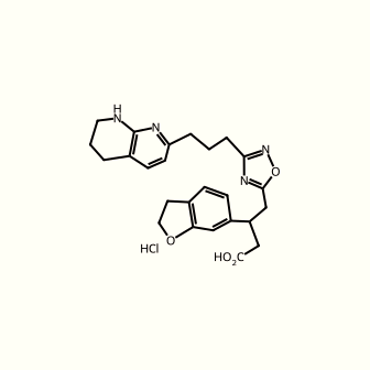 Cl.O=C(O)CC(Cc1nc(CCCc2ccc3c(n2)NCCC3)no1)c1ccc2c(c1)OCC2